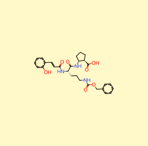 O=C(/C=C/c1ccccc1O)N[C@@H](CCCNC(=O)OCc1ccccc1)C(=O)N[C@H]1CCC[C@H]1C(=O)O